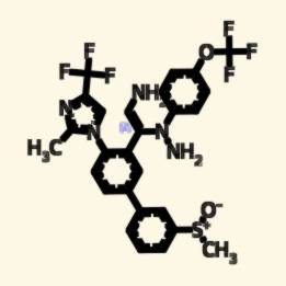 Cc1nc(C(F)(F)F)cn1-c1ccc(-c2cccc([S+](C)[O-])c2)cc1/C(=C/N)N(N)c1ccc(OC(F)(F)F)cc1